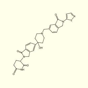 O=C1CCC(N2Cc3cc(C4(O)CCN(Cc5ccc6c(c5)C(=O)N(c5ccns5)C6)CC4)ccc3C2=O)C(=O)N1